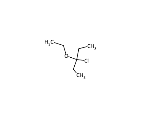 CCOC(Cl)(CC)CC